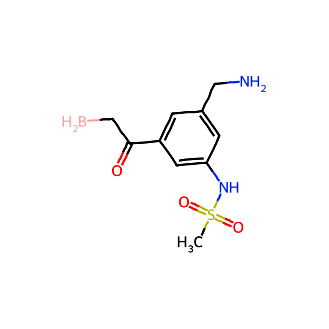 BCC(=O)c1cc(CN)cc(NS(C)(=O)=O)c1